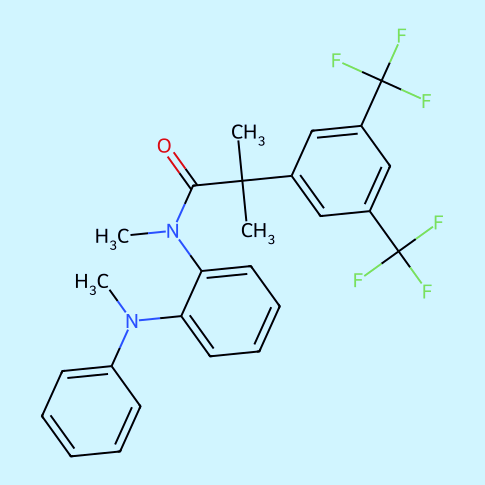 CN(C(=O)C(C)(C)c1cc(C(F)(F)F)cc(C(F)(F)F)c1)c1ccccc1N(C)c1ccccc1